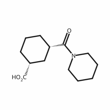 O=C(O)[C@@H]1CCC[C@H](C(=O)N2CCCCC2)C1